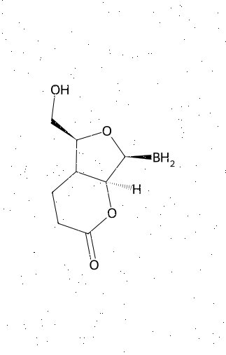 B[C@@H]1O[C@H](CO)C2CCC(=O)O[C@@H]21